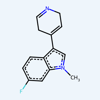 Cn1cc(C2=CCN=CC2)c2ccc(F)cc21